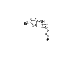 FCCCN1CC(Nc2ccc(Br)cn2)C1